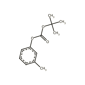 Cc1[c]ccc(OC(=O)OC(C)(C)C)c1